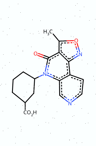 Cc1onc2c1c(=O)n(C1CCCC(C(=O)O)C1)c1cnccc21